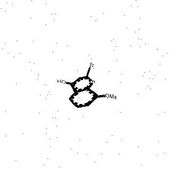 CCc1cc(O)c2cccc(OC)c2n1